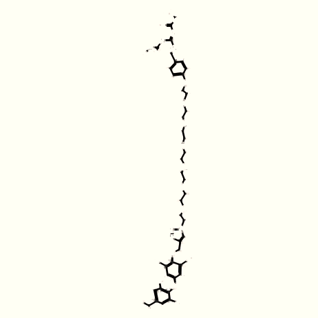 CC(C)(C)OC(=O)/N=C(/NCc1ccc(OCCOCCOCCOCCOCCOCCOCCn2cc(COc3c(I)cc(Oc4c(I)cc(CC(=O)O)cc4I)cc3I)nn2)cc1)NC(=O)OC(C)(C)C